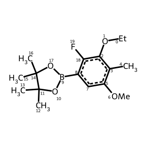 CCOc1c(C)c(OC)cc(B2OC(C)(C)C(C)(C)O2)c1F